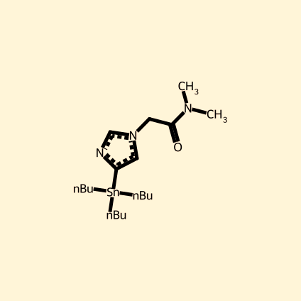 CCC[CH2][Sn]([CH2]CCC)([CH2]CCC)[c]1cn(CC(=O)N(C)C)cn1